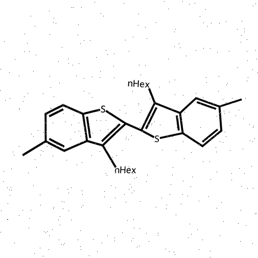 CCCCCCc1c(-c2sc3ccc(C)cc3c2CCCCCC)sc2ccc(C)cc12